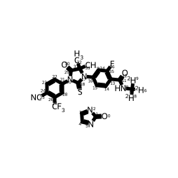 O=C1N=CC=N1.[2H]C([2H])([2H])NC(=O)c1ccc(N2C(=S)N(c3ccc(C#N)c(C(F)(F)F)c3)C(=O)C2(C)C)cc1F